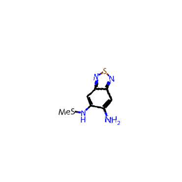 CSNc1cc2nsnc2cc1N